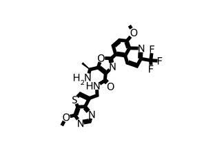 COc1ccc(-c2nc(C(=O)NCc3csc4c(OC)ncnc34)c([C@H](C)N)o2)c2ccc(C(F)(F)F)nc12